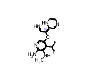 CNc1c(N)ncc(O/C(C=N)=C2\C=NC=CN2)c1C(F)F